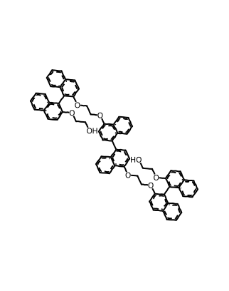 OCCOc1ccc2ccccc2c1-c1c(OCCOc2ccc(-c3ccc(OCCOc4ccc5ccccc5c4-c4c(OCCO)ccc5ccccc45)c4ccccc34)c3ccccc23)ccc2ccccc12